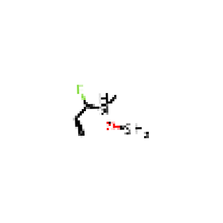 C=CC(F)[SiH](C)O[SiH3]